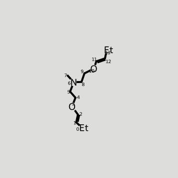 CCC=COCCN(C)CCOC=CCC